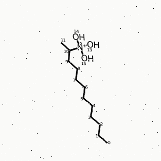 CCCCCCCCCCC(C)[N+](O)(O)O